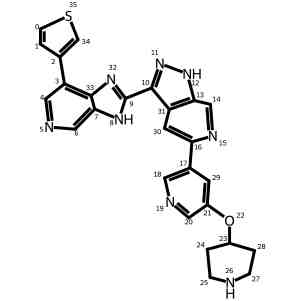 c1cc(-c2cncc3[nH]c(-c4n[nH]c5cnc(-c6cncc(OC7CCNCC7)c6)cc45)nc23)cs1